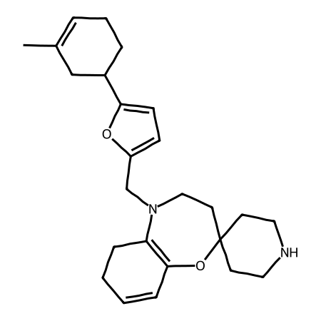 CC1=CCCC(c2ccc(CN3CCC4(CCNCC4)OC4=C3CCC=C4)o2)C1